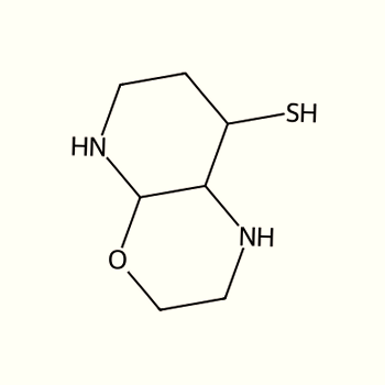 SC1CCNC2OCCNC12